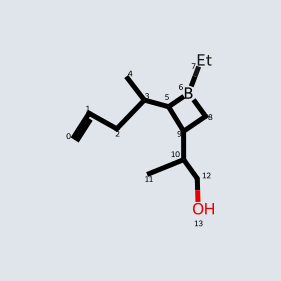 C=CCC(C)C1B(CC)CC1C(C)CO